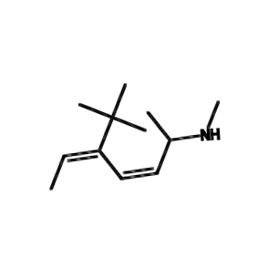 C/C=C(\C=C/C(C)NC)C(C)(C)C